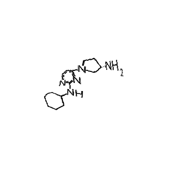 N[C@H]1CCN(c2ccnc(NC3CCCCC3)n2)C1